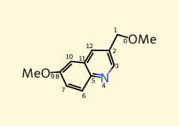 COCc1cnc2ccc(OC)cc2c1